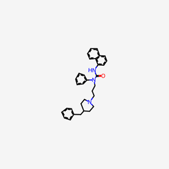 O=C(Nc1cccc2ccccc12)N(CCCN1CCC(Cc2ccccc2)CC1)c1ccccc1